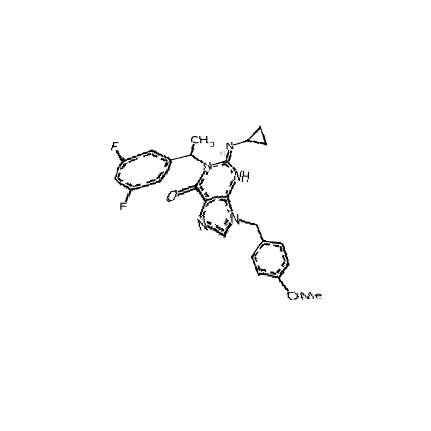 COc1ccc(Cn2cnc3c(=O)n(C(C)c4cc(F)cc(F)c4)/c(=N/C4CC4)[nH]c32)cc1